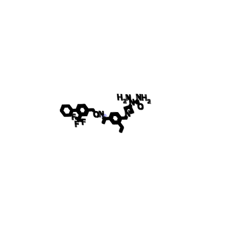 CCc1cc(/C(C)=N/OCc2ccc(C3CCCCC3)c(C(F)(F)F)c2)ccc1CN1CC(N(N)C(N)=O)C1